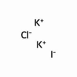 [Cl-].[I-].[K+].[K+]